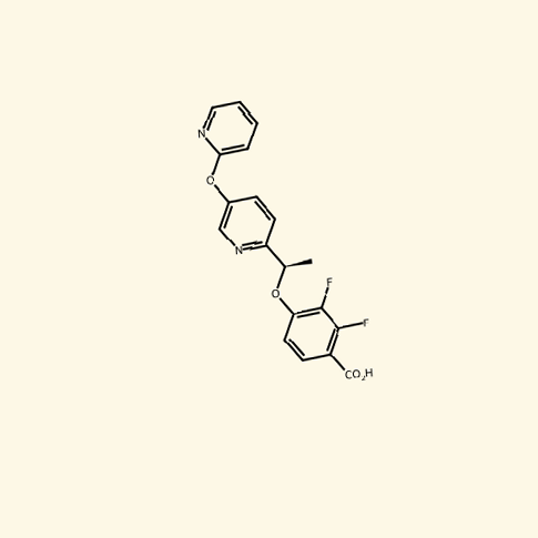 C[C@@H](Oc1ccc(C(=O)O)c(F)c1F)c1ccc(Oc2ccccn2)cn1